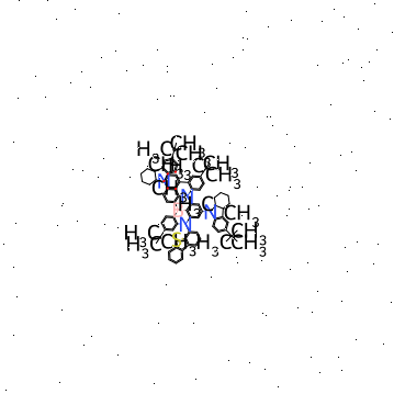 CC(C)(C)c1ccc(N2c3cc(N4c5ccc(C(C)(C)C)cc5C5(C)CCCCC45C)ccc3B3c4ccc(C(C)(C)C)cc4N(c4cccc5c4sc4ccccc45)c4cc(N5c6ccc(C(C)(C)C)cc6C6(C)CCCCC56C)cc2c43)c(-c2ccccc2)c1